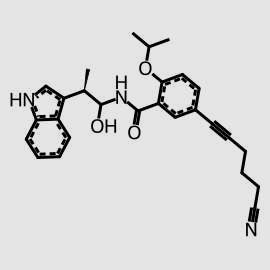 CC(C)Oc1ccc(C#CCCCC#N)cc1C(=O)NC(O)[C@H](C)c1c[nH]c2ccccc12